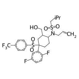 C=CCN(C1CCC(c2cc(F)ccc2F)(S(=O)(=O)c2ccc(C(F)(F)F)cc2)CC1CO)S(=O)(=O)CC(C)C